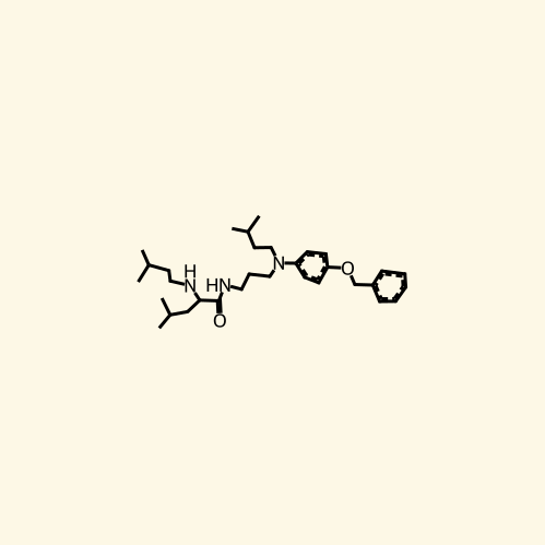 CC(C)CCNC(CC(C)C)C(=O)NCCCN(CCC(C)C)c1ccc(OCc2ccccc2)cc1